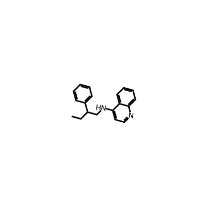 CCC(CNc1ccnc2ccccc12)c1ccccc1